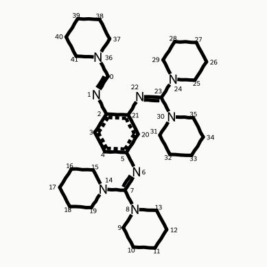 C(=Nc1ccc(N=C(N2CCCCC2)N2CCCCC2)cc1N=C(N1CCCCC1)N1CCCCC1)N1CCCCC1